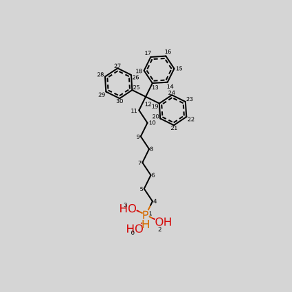 O[PH](O)(O)CCCCCCCCC(c1ccccc1)(c1ccccc1)c1ccccc1